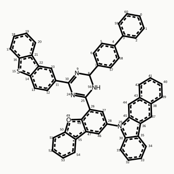 c1ccc(-c2ccc(C3N=C(c4ccc5sc6ccccc6c5c4)N=C(c4cc(-n5c6ccccc6c6cc7ccccc7cc65)cc5c4oc4ccccc45)N3)cc2)cc1